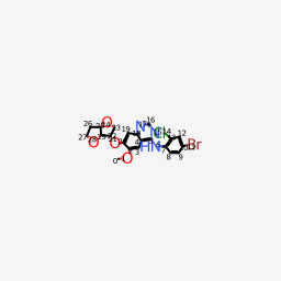 COc1cc2c(Nc3ccc(Br)cc3Cl)ncnc2cc1O[C@@H]1COC2CCOC21